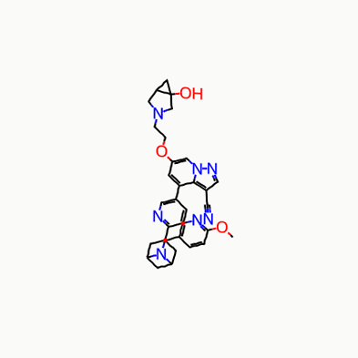 COc1ccc(CN2C3CC(c4ccc(-c5cc(OCCN6CC7CC7(O)C6)cn6ncc(C#N)c56)cn4)CC2C3)cn1